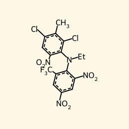 CCN(c1c([N+](=O)[O-])cc([N+](=O)[O-])cc1C(F)(F)F)c1c([N+](=O)[O-])cc(Cl)c(C)c1Cl